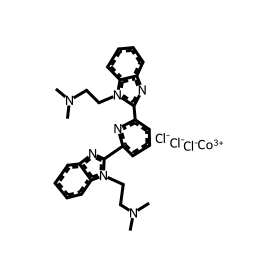 CN(C)CCn1c(-c2cccc(-c3nc4ccccc4n3CCN(C)C)n2)nc2ccccc21.[Cl-].[Cl-].[Cl-].[Co+3]